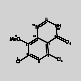 COc1c(Cl)cc(Cl)c2c(=O)[nH]cnc12